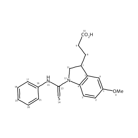 COc1ccc2c(c1)C(CCC(=O)O)CN2C(=S)Nc1ccccc1